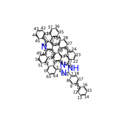 c1ccc(C2=NC(c3ccc(-c4ccccc4)cc3)NC(c3cccc(-c4cccc(-c5c(-c6ccccc6)c(-c6ccccc6)nc(-c6ccccc6)c5-c5ccccc5)c4)c3)=N2)cc1